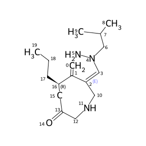 C=C1/C(=C\N(N)CC(C)C)CNCC(=O)C[C@H]1CCC